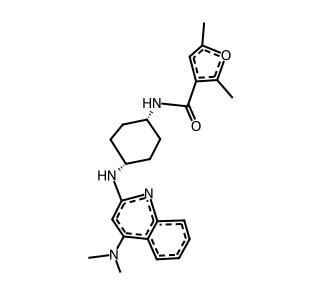 Cc1cc(C(=O)N[C@H]2CC[C@@H](Nc3cc(N(C)C)c4ccccc4n3)CC2)c(C)o1